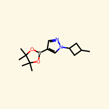 CC1CC(n2cc(B3OC(C)(C)C(C)(C)O3)cn2)C1